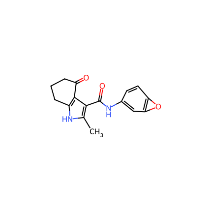 Cc1[nH]c2c(c1C(=O)Nc1ccc3c(c1)O3)C(=O)CCC2